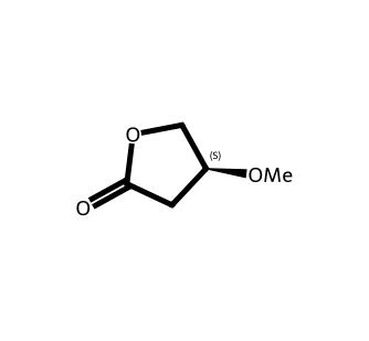 CO[C@@H]1COC(=O)C1